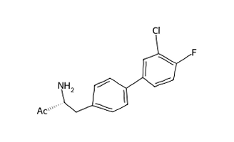 CC(=O)[C@H](N)Cc1ccc(-c2ccc(F)c(Cl)c2)cc1